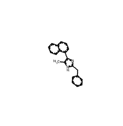 Cc1[nH]c(Cc2ccccc2)nc1-c1cccc2ccccc12